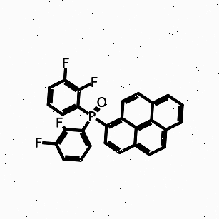 O=P(c1cccc(F)c1F)(c1cccc(F)c1F)c1ccc2ccc3cccc4ccc1c2c34